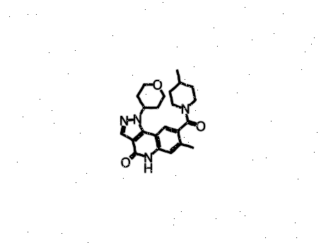 Cc1cc2[nH]c(=O)c3cnn(C4CCOCC4)c3c2cc1C(=O)N1CCC(C)CC1